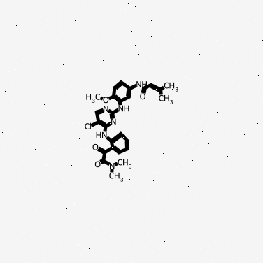 COc1ccc(NC(=O)C=C(C)C)cc1Nc1ncc(Cl)c(Nc2ccccc2C(=O)C(=O)N(C)C)n1